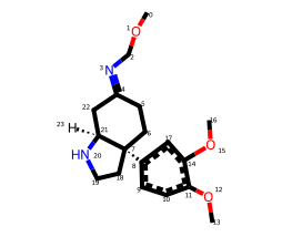 COCN=C1CC[C@@]2(c3ccc(OC)c(OC)c3)CCN[C@H]2C1